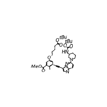 COC(=O)c1cc(OCCCCC(=O)OC(C)(C)C)cc(C#Cc2cnc3ccc(N4CCC[C@H](NC(=O)OC(C)(C)C)C4)nn23)c1C